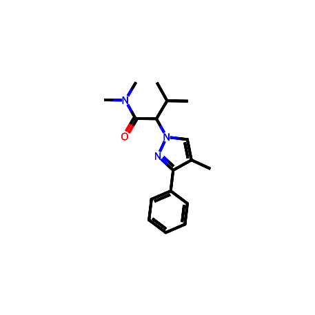 Cc1cn(C(C(=O)N(C)C)C(C)C)nc1-c1ccccc1